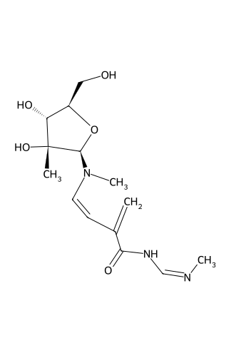 C=C(/C=C\N(C)[C@@H]1O[C@H](CO)[C@@H](O)[C@@]1(C)O)C(=O)N/C=N\C